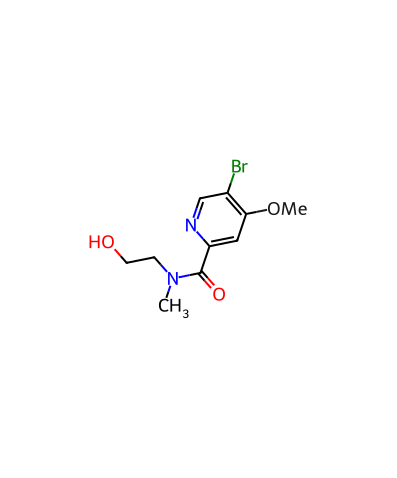 COc1cc(C(=O)N(C)CCO)ncc1Br